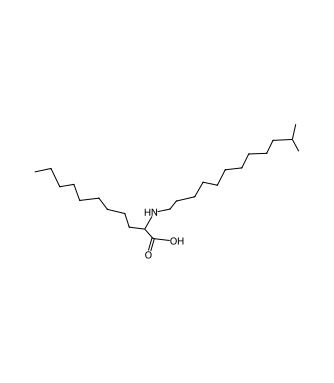 CCCCCCCCCC(NCCCCCCCCCCC(C)C)C(=O)O